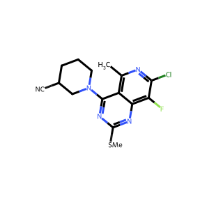 CSc1nc(N2CCCC(C#N)C2)c2c(C)nc(Cl)c(F)c2n1